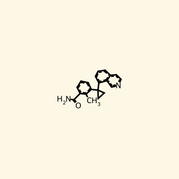 Cc1c(C(N)=O)cccc1C1(c2cccc3ccncc23)CC1